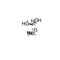 O=[PH](O)O.[Na+].[OH-]